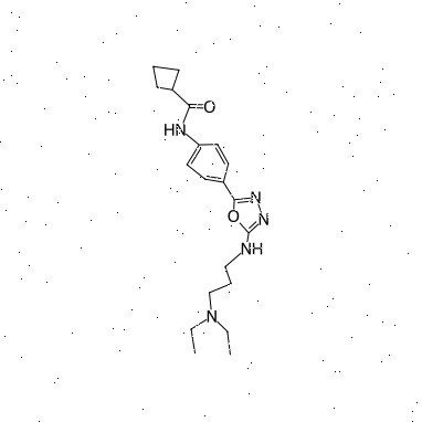 CCN(CC)CCCNc1nnc(-c2ccc(NC(=O)C3CCC3)cc2)o1